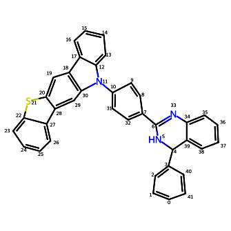 c1ccc(C2NC(c3ccc(-n4c5ccccc5c5cc6sc7ccccc7c6cc54)cc3)=Nc3ccccc32)cc1